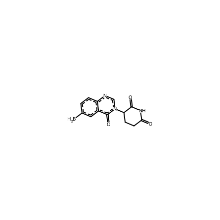 Bc1ccc2ncn(C3CCC(=O)NC3=O)c(=O)c2c1